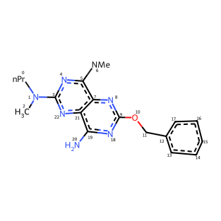 CCCN(C)c1nc(NC)c2nc(OCc3ccccc3)nc(N)c2n1